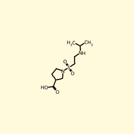 CC(C)NCCS(=O)(=O)N1CCC(C(=O)O)C1